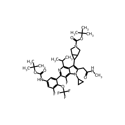 CNC(=O)Cc1c(C2C3CN(C(=O)OC(C)(C)C)CC32)c2c(C(C)C)nc(-c3cc(NC(=O)OC(C)(C)C)cc(F)c3OC(F)(F)F)c(F)c2n1C1CC1